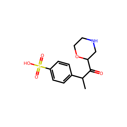 CC(C(=O)C1CNCCO1)c1ccc(S(=O)(=O)O)cc1